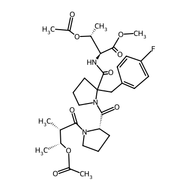 COC(=O)[C@@H](NC(=O)C1(Cc2ccc(F)cc2)CCCN1C(=O)[C@@H]1CCCN1C(=O)[C@@H](C)[C@@H](C)OC(C)=O)[C@@H](C)OC(C)=O